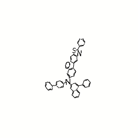 c1ccc(-c2ccc(N(c3cc(-c4ccccc4)c4ccccc4c3)c3ccc4c(c3)oc3cc5sc(-c6ccccc6)nc5cc34)cc2)cc1